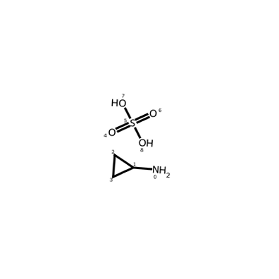 NC1CC1.O=S(=O)(O)O